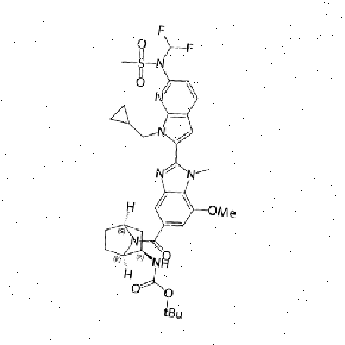 COc1cc(C(=O)N2[C@H]3CC[C@@H]2[C@H](NC(=O)OC(C)(C)C)C3)cc2nc(-c3cc4ccc(N(C(F)F)S(C)(=O)=O)nc4n3CC3CC3)n(C)c12